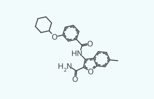 Cc1ccc2c(NC(=O)c3cccc(OC4CCCCC4)c3)c(C(N)=O)oc2c1